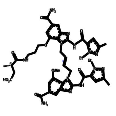 CCn1nc(C)cc1C(=O)Nc1nc2cc(C(N)=O)cc(OC)c2n1C/C=C/Cn1c(NC(=O)c2cc(C)nn2CC)nc2cc(C(N)=O)cc(OCCCNC(=O)[C@@H](C)CC(=O)O)c21